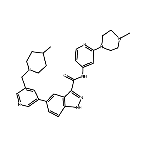 CC1CCN(Cc2cncc(-c3ccc4[nH]nc(C(=O)Nc5ccnc(N6CCN(C)CC6)c5)c4c3)c2)CC1